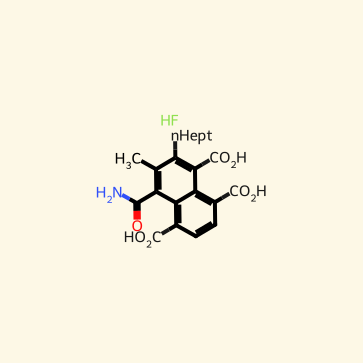 CCCCCCCc1c(C)c(C(N)=O)c2c(C(=O)O)ccc(C(=O)O)c2c1C(=O)O.F